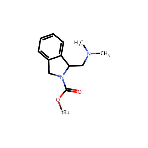 CN(C)CC1c2ccccc2CN1C(=O)OC(C)(C)C